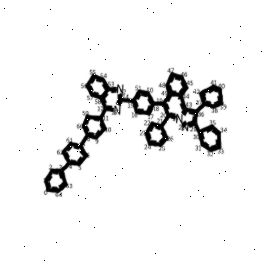 c1ccc(-c2ccc(-c3ccc(-c4nc(-c5ccc(-c6c(-c7ccccc7)n7nc(-c8ccccc8)c(-c8ccccc8)c7c7ccccc67)cc5)nc5ccccc45)cc3)cc2)cc1